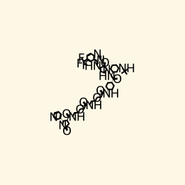 CN1C(=O)C[C@H](C(=O)NCCOCC(=O)NCCOCC(=O)N[C@H]2CC[C@@H](C(=O)N[C@@H]3C[C@H](NC(C)(C)C)CC[C@@H]3N3CC[C@H](Nc4ncnc5ccc(C(F)(F)F)cc45)C3=O)CC2)[C@H]1c1cccnc1